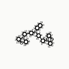 c1cc(-c2ccc(N(c3ccc(-c4cccc(N5c6ccccc6Oc6ccccc65)c4)cc3)c3ccc4ccccc4c3)cc2)cc(N2c3ccccc3Oc3ccccc32)c1